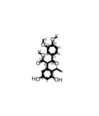 CCc1c(O)cc(O)cc1C(C(=O)OC)C(=O)c1ccc(OC)c(OC)c1